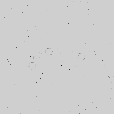 COc1cc(N(C)C(=O)Nc2ccccc2)ccc1C(=O)NC1CCN(Cc2ccccc2)CC1